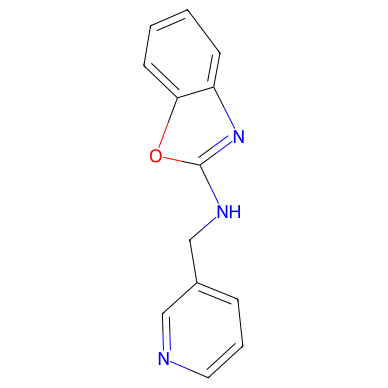 c1cncc(CNc2nc3ccccc3o2)c1